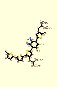 CCCCCCCCCCC(CCCCCCCC)Cc1cc(-c2c(F)c(Cl)c(-c3cc(CC(CCCCCCCC)CCCCCCCCCC)c(-c4ccc(-c5ccc(C)s5)s4)s3)c3nsnc23)sc1C